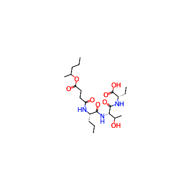 CCCC(C)OC(=O)CCC(=O)N[C@@H](CCC)C(=O)N[C@H](C(=O)N[C@@H](CC)C(=O)O)C(C)O